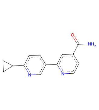 NC(=O)c1ccnc(-c2ccc(C3CC3)nc2)c1